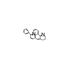 C(=C1\CCCN=C1c1cccnc1)/c1ccc(-c2ccccc2)cc1